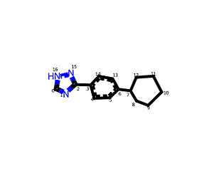 c1nc(-c2ccc(C3CCCCC3)cc2)n[nH]1